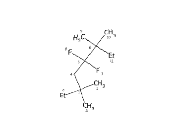 CCC(C)(C)CC(F)(F)C(C)(C)CC